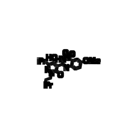 COc1ccc2c(c1)S(=O)(=O)NC(c1c(O)c(C(C)C)nn(CCC(C)C)c1=O)=N2